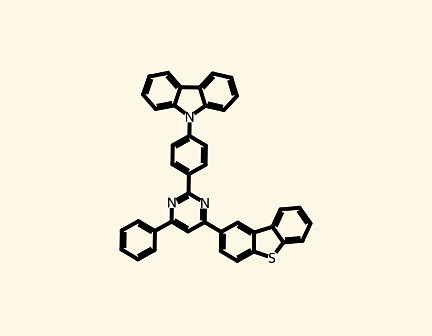 c1ccc(-c2cc(-c3ccc4sc5ccccc5c4c3)nc(-c3ccc(-n4c5ccccc5c5ccccc54)cc3)n2)cc1